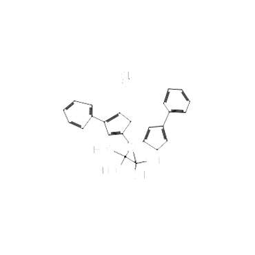 C[C]1(C)[C](C)(C)[Zr+2]1([C]1=CC(c2ccccc2)=CC1)[C]1=CC(c2ccccc2)=CC1.[Cl-].[Cl-]